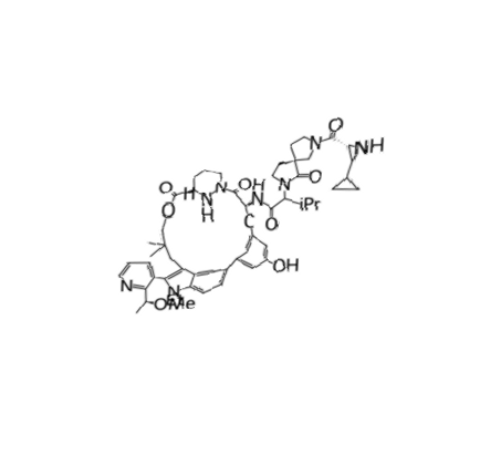 CCn1c(-c2cccnc2[C@H](C)OC)c2c3cc(ccc31)-c1cc(O)cc(c1)C[C@H](NC(=O)C(C(C)C)N1CC[C@]3(CCN(C(=O)[C@@H]4NC4C4CC4)C3)C1=O)C(=O)N1CCC[C@H](N1)C(=O)OCC(C)(C)C2